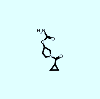 NC(=O)OC1CCN(C(=O)C2CC2)C1